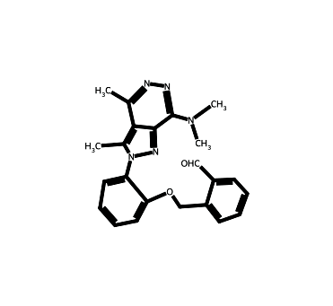 Cc1nnc(N(C)C)c2nn(-c3ccccc3OCc3ccccc3C=O)c(C)c12